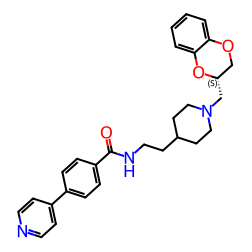 O=C(NCCC1CCN(C[C@H]2COc3ccccc3O2)CC1)c1ccc(-c2ccncc2)cc1